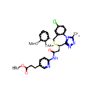 COc1cccc([C@H]2S[C@H](CC(=O)Nc3ccc(CCC(=O)OC(C)(C)C)cn3)c3nnc(C(F)(F)F)n3-c3ccc(Cl)cc32)c1OC